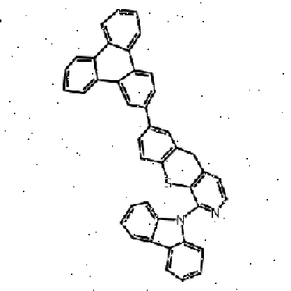 c1ccc2c(c1)c1ccccc1c1cc(-c3ccc4c(c3)Cc3ccnc(-n5c6ccccc6c6ccccc65)c3S4)ccc21